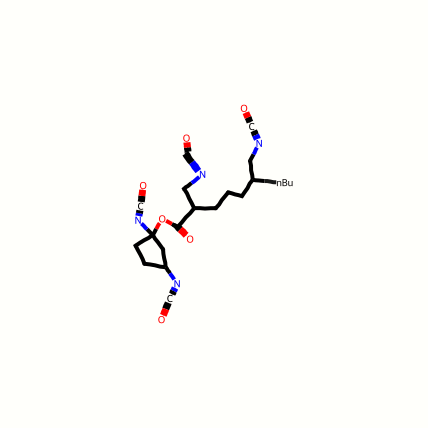 CCCCC(CCCC(CN=C=O)C(=O)OC1(N=C=O)CCC(N=C=O)C1)CN=C=O